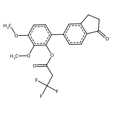 COc1ccc(-c2ccc3c(c2)CCC3=O)c(OC(=O)CC(F)(F)F)c1OC